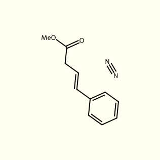 COC(=O)CC=Cc1ccccc1.N#N